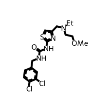 CCN(CCOC)Cc1csc(NC(=O)NCc2ccc(Cl)c(Cl)c2)n1